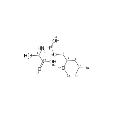 BC(NP(O)OCC(CC(C)C)OC)C(=O)O